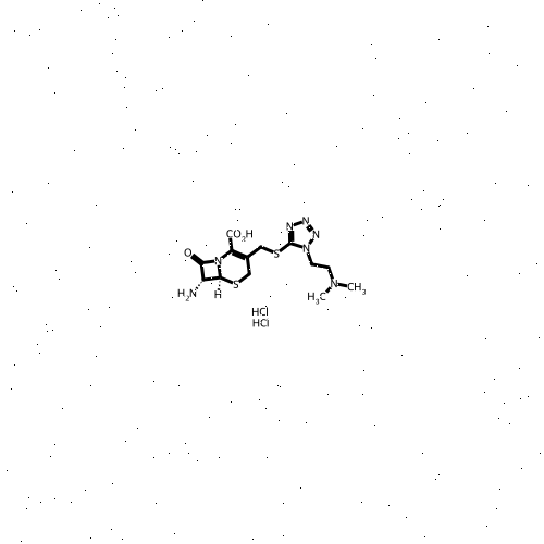 CN(C)CCn1nnnc1SCC1=C(C(=O)O)N2C(=O)[C@@H](N)[C@@H]2SC1.Cl.Cl